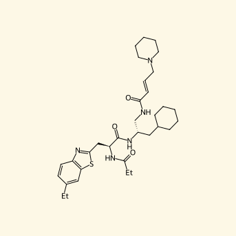 CCC(=O)N[C@@H](Cc1nc2ccc(CC)cc2s1)C(=O)N[C@H](CNC(=O)/C=C/CN1CCCCC1)CC1CCCCC1